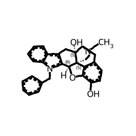 CN1CC[C@]23c4c5ccc(O)c4O[C@H]2c2c(c4ccccc4n2Cc2ccccc2)C[C@@]3(O)C1C5